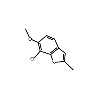 COc1ccc2cc(C)sc2c1Cl